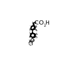 O=C(O)Cc1ccc(-c2ccc(OCCl)cc2)cc1